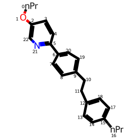 CCCOc1ccc(-c2ccc(CCc3ccc(CCC)cc3)cc2)nc1